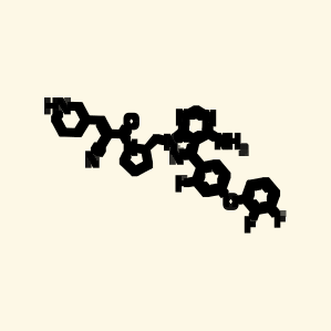 N#CC(=CC1CCCNC1)C(=O)N1CCC[C@@H]1Cn1nc(-c2ccc(Oc3cccc(F)c3F)cc2F)c2c(N)ncnc21